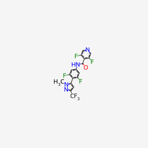 Cn1nc(C(F)(F)F)cc1-c1c(F)cc(NC(=O)c2c(F)cncc2F)cc1F